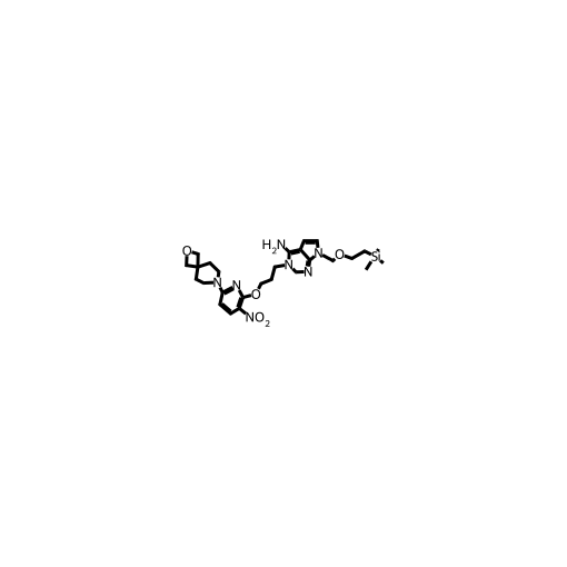 C[Si](C)(C)CCOCn1ccc2c1=NCN(CCCOc1nc(N3CCC4(CC3)COC4)ccc1[N+](=O)[O-])C=2N